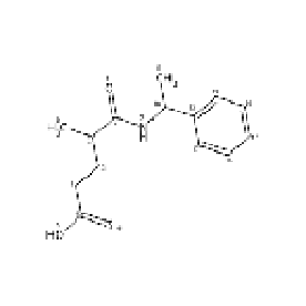 CC(CCC(O)=S)C(=O)NC(C)c1ccccc1